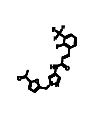 CC(=O)c1ccc(Cn2cc(NC(=O)C=Cc3cccc(C(F)(F)F)c3F)cn2)o1